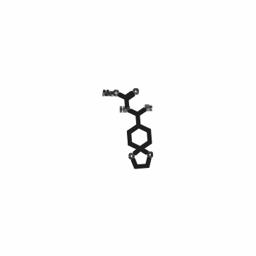 CCC(NC(=O)OC)C1CCC2(CC1)OCCO2